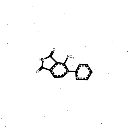 O=C1NC(=O)c2c1ccc(-c1ccccc1)c2[N+](=O)[O-]